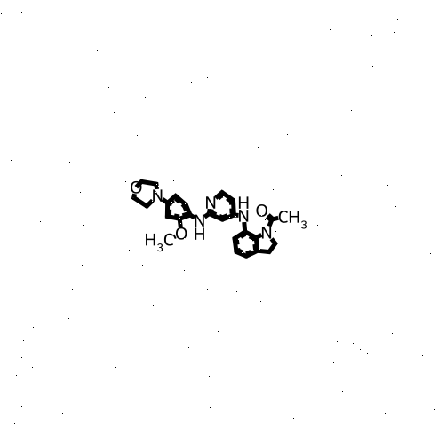 COc1cc(N2CCOCC2)ccc1Nc1cc(Nc2cccc3c2N(C(C)=O)CC3)ccn1